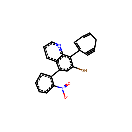 O=[N+]([O-])c1ccccc1-c1cc(S)c(C2=CC=CCC#C2)c2ncccc12